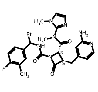 CCC(NC(=O)N1C(=O)[C@H](Cc2ccnc(N)c2)[C@H]1C(=O)N(C)c1nccn1C)c1ccc(F)c(C)c1